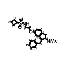 CNC1Cc2ccc(OCCNS(=O)(=O)C3CCC3)cc2C1Cc1ccccc1